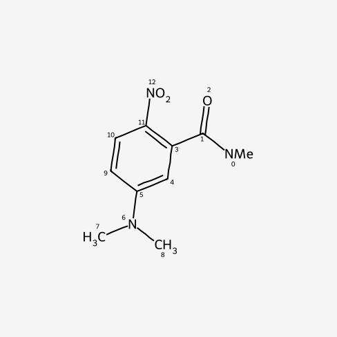 CNC(=O)c1cc(N(C)C)ccc1[N+](=O)[O-]